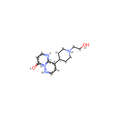 O=c1ccnc2c(C3CCN(CCO)CC3)ccnn12